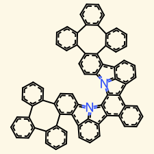 c1ccc2c(c1)-c1ccccc1-c1ccc3c(c1-c1ccccc1-2)c1cccc2c4c5ccccc5c5c6cccc7c8c9c(ccc8n(c76)c5c4n3c12)-c1ccccc1-c1ccccc1-c1ccccc1-9